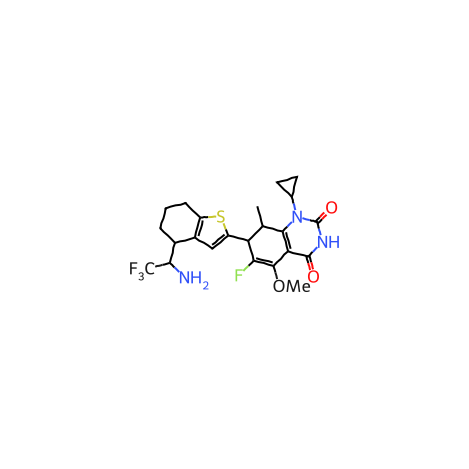 COC1=C(F)C(c2cc3c(s2)CCCC3C(N)C(F)(F)F)C(C)c2c1c(=O)[nH]c(=O)n2C1CC1